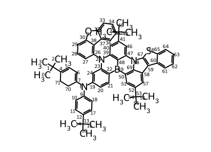 CC(C)(C)C1=CC=C(N(c2ccc(C(C)(C)C)cc2)c2ccc3c(c2)N(c2cccc4oc5ccccc5c24)c2cc(C(C)(C)C)cc4c2B3c2cc(C(C)(C)C)cc3c5c6ccccc6sc5n-4c23)CC1